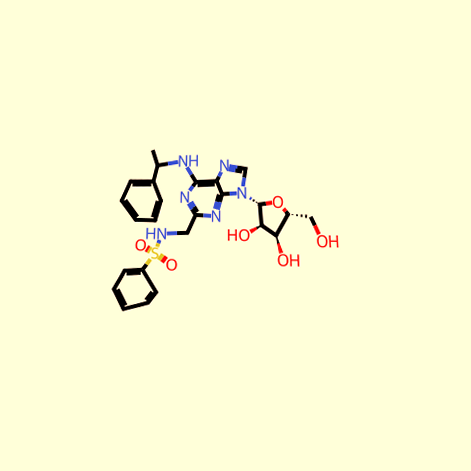 CC(Nc1nc(CNS(=O)(=O)c2ccccc2)nc2c1ncn2[C@@H]1O[C@H](CO)[C@@H](O)[C@H]1O)c1ccccc1